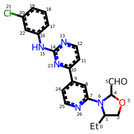 CCC1COC(C=O)N1c1cc(-c2ccnc(Nc3cccc(Cl)c3)n2)ccn1